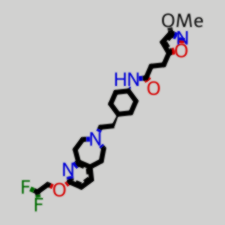 COc1cc(CCC(=O)N[C@H]2CC[C@H](CCN3CCc4ccc(OCC(F)F)nc4CC3)CC2)on1